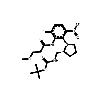 COCCC(=O)Nc1c(F)ccc([N+](=O)[O-])c1N1CCC[C@H]1CNC(=O)OC(C)(C)C